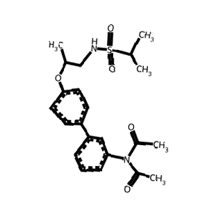 CC(=O)N(C(C)=O)c1cccc(-c2ccc(OC(C)CNS(=O)(=O)C(C)C)cc2)c1